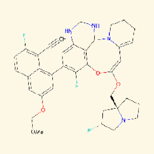 C#Cc1c(F)ccc2cc(OCOC)cc(-c3cc4c5c(c3F)OC(OC[C@@]36CCCN3C[C@H](F)C6)=CC3=CCCCN3C5NCN4)c12